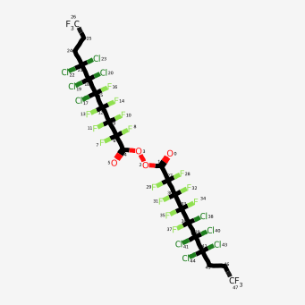 O=C(OOC(=O)C(F)(F)C(F)(F)C(F)(F)C(F)(Cl)C(Cl)(Cl)C(Cl)(Cl)CCC(F)(F)F)C(F)(F)C(F)(F)C(F)(F)C(F)(Cl)C(Cl)(Cl)C(Cl)(Cl)CCC(F)(F)F